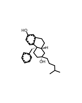 CC(C)CCC[C@@]1(O)CC[C@@]2(Cc3ccccc3)c3ccc(O)cc3CC[C@@H]2C1